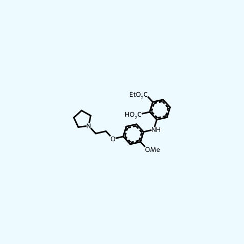 CCOC(=O)c1cccc(Nc2ccc(OCCN3CCCC3)cc2OC)c1C(=O)O